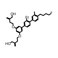 C=C(CO)CCOc1cc(OCCC(=C)CO)cc(-c2ccc(-c3ccc(CCCCF)c(C)c3)c(CC)c2)c1